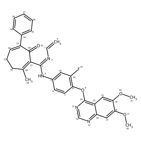 C=C/N=C(/Nc1ccc(Oc2ncnc3cc(OC)c(OC)cc23)c(F)c1)C1=C(C)CCC=C(c2ccccc2)C1=O